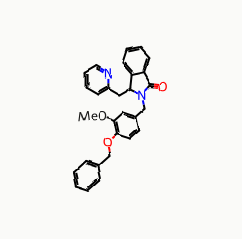 COc1cc(CN2C(=O)c3ccccc3C2Cc2ccccn2)ccc1OCc1ccccc1